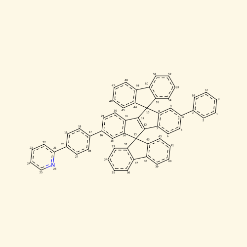 c1ccc(-c2ccc3c(c2)C2(C4=C3C3(c5cc(-c6ccc(-c7ccccn7)cc6)ccc54)c4ccccc4-c4ccccc43)c3ccccc3-c3ccccc32)cc1